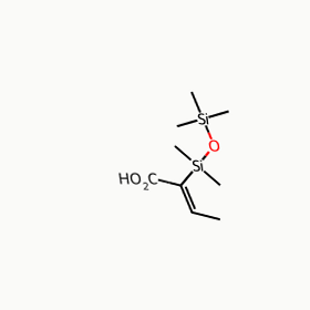 CC=C(C(=O)O)[Si](C)(C)O[Si](C)(C)C